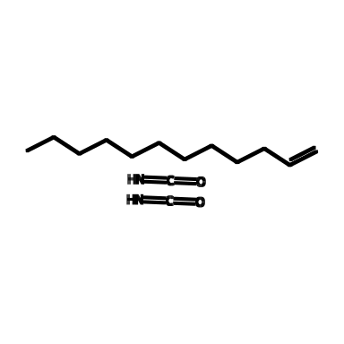 C=CCCCCCCCCCC.N=C=O.N=C=O